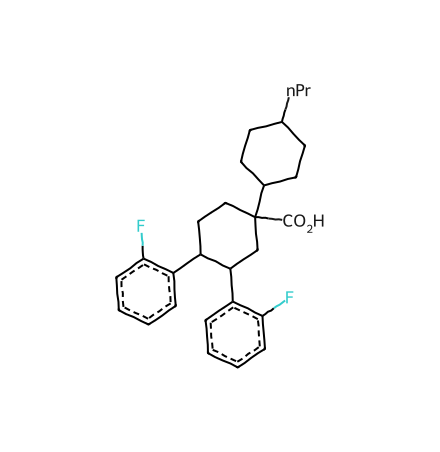 CCCC1CCC(C2(C(=O)O)CCC(c3ccccc3F)C(c3ccccc3F)C2)CC1